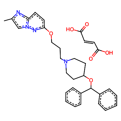 Cc1cn2nc(OCCCN3CCC(OC(c4ccccc4)c4ccccc4)CC3)ccc2n1.O=C(O)C=CC(=O)O